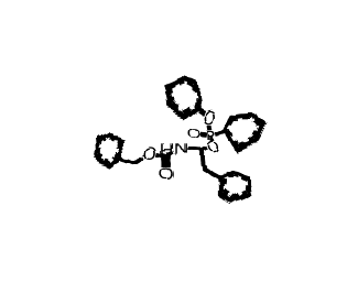 O=C(NC(Cc1ccccc1)OP(=O)(Oc1ccccc1)c1ccccc1)OCc1ccccc1